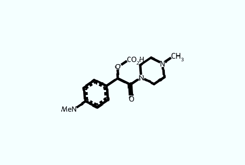 CNc1ccc(C(OC(=O)O)C(=O)N2CCN(C)CC2)cc1